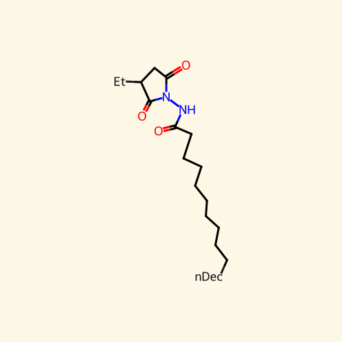 CCCCCCCCCCCCCCCCCCCC(=O)NN1C(=O)CC(CC)C1=O